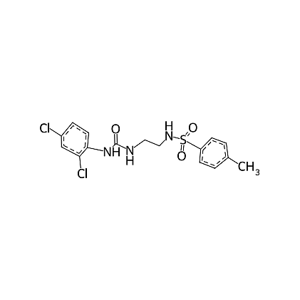 Cc1ccc(S(=O)(=O)NCCNC(=O)Nc2ccc(Cl)cc2Cl)cc1